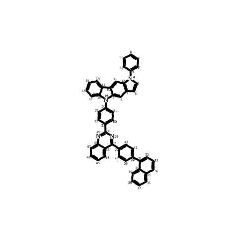 c1ccc(-n2ccc3cc4c(cc32)c2ccccc2n4-c2ccc(-c3nc(-c4ccc(-c5cccc6ccccc56)cc4)c4ccccc4n3)cc2)cc1